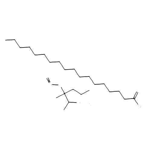 CCCC(C)(ON=O)C(C)O.CCCCCCCCCCCCCCCCCC(N)=O.N